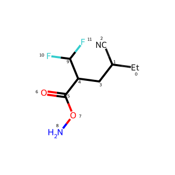 CCC(C#N)CC(C(=O)ON)C(F)F